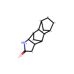 O=C1CC2C3CC(C2N1)C1C2CCC(C2)C31